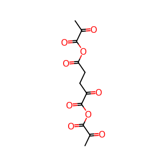 CC(=O)C(=O)OC(=O)CCC(=O)C(=O)OC(=O)C(C)=O